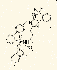 CCCCc1nn(-c2ccccc2C(F)(F)F)c(=O)n1Cc1ccc(-c2ccccc2S(=O)(=O)NC(=O)c2oc3ccccc3c2C)cc1